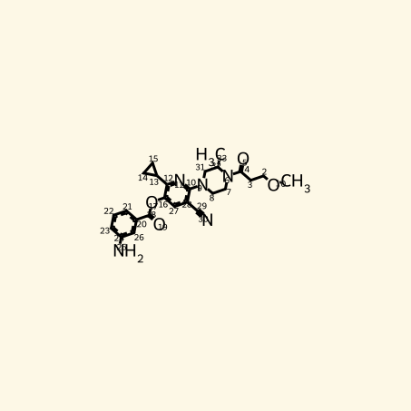 COCCC(=O)N1CCN(c2nc(C3CC3)c(OC(=O)c3cccc(N)c3)cc2C#N)C[C@H]1C